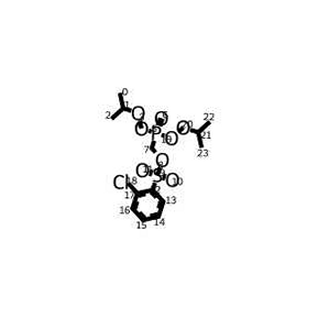 CC(C)OOP(=O)(COS(=O)(=O)c1ccccc1Cl)OOC(C)C